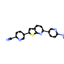 CNc1ccc(-c2ccc3cc(-c4ccc(C#N)nc4)sc3n2)cn1